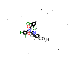 Cc1cc(Cl)c(C(=O)CN(Cc2cc(F)cc(F)c2)C(=O)c2cnn(C3CCC(C(=O)O)CC3)c2C(F)(F)F)c(Cl)c1